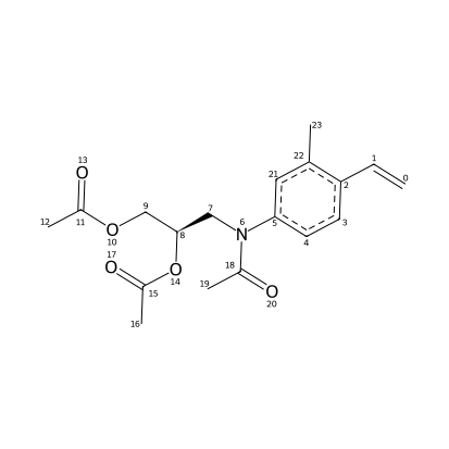 C=Cc1ccc(N(C[C@H](COC(C)=O)OC(C)=O)C(C)=O)cc1C